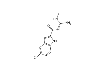 CNC(N)=NC(=O)c1cc2cc(Cl)ccc2[nH]1